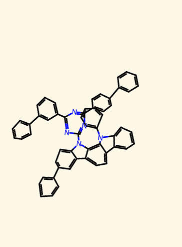 c1ccc(-c2ccc(-c3nc(-c4cccc(-c5ccccc5)c4)nc(-n4c5ccc(-c6ccccc6)cc5c5ccc6c7ccccc7n(-c7ccccc7)c6c54)n3)cc2)cc1